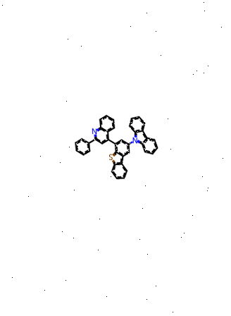 c1ccc(-c2cc(-c3cc(-n4c5ccccc5c5ccccc54)cc4c3sc3ccccc34)c3ccccc3n2)cc1